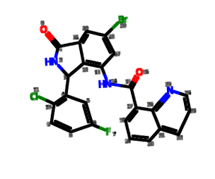 O=C1NC(c2cc(F)ccc2Cl)c2c(NC(=O)c3cccc4cccnc34)cc(Br)cc21